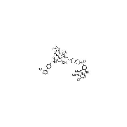 CNc1nc(Nc2ccc(C(=O)N3CCC4(CCN(CCCSC(C)(C)[C@H](NC(=O)C5(F)CC5)C(=O)N5C[C@H](O)C[C@H]5C(=O)NCc5ccc(-c6scnc6C)cc5)CC4)CC3)cc2OC)ncc1Cl